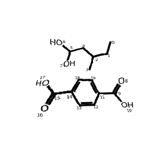 CCC(C)CC(O)O.O=C(O)c1ccc(C(=O)O)cc1